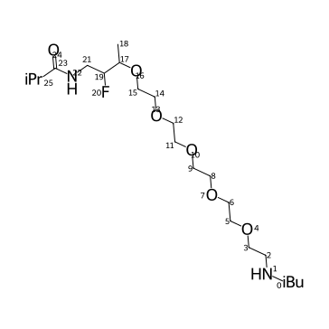 CCC(C)NCCOCCOCCOCCOCCOC(C)C(F)CNC(=O)C(C)C